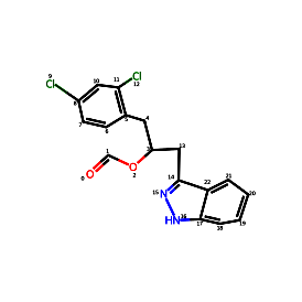 O=COC(Cc1ccc(Cl)cc1Cl)Cc1n[nH]c2ccccc12